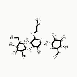 NNCCO[C@H]1O[C@H](CO[C@H]2O[C@H](CO)[C@@H](O)[C@H](O)[C@@H]2O)[C@@H](O)[C@H](O[C@H]2O[C@H](CO)[C@@H](O)[C@H](O)[C@@H]2O)[C@@H]1O